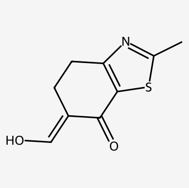 Cc1nc2c(s1)C(=O)C(=CO)CC2